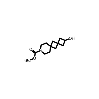 CC(C)(C)OC(=O)N1CCC2(CC1)CC1(CC(O)C1)C2